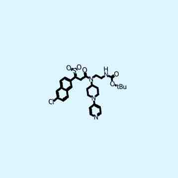 CC(C)(C)OC(=O)NCCN(C(=O)CC(c1ccc2cc(Cl)ccc2c1)=S(=O)=O)C1CCN(c2ccncc2)CC1